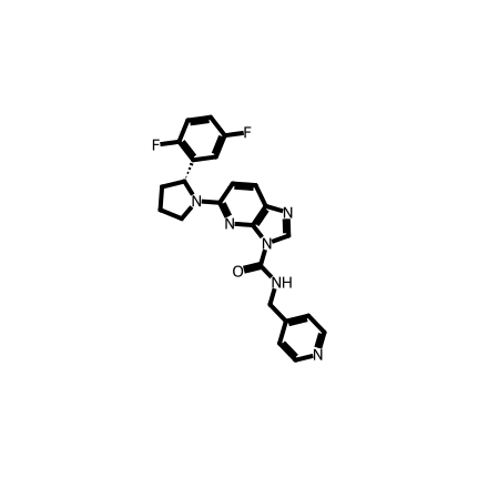 O=C(NCc1ccncc1)n1cnc2ccc(N3CCC[C@@H]3c3cc(F)ccc3F)nc21